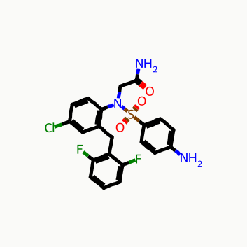 NC(=O)CN(c1ccc(Cl)cc1Cc1c(F)cccc1F)S(=O)(=O)c1ccc(N)cc1